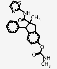 CNC(=O)Oc1ccc2c(c1)CC(C)(C(=O)Nc1nccs1)C2c1ccccc1